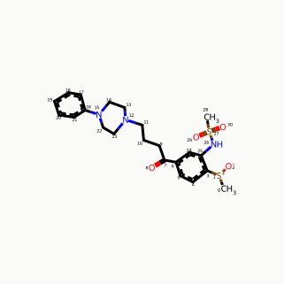 C[S+]([O-])c1ccc(C(=O)CCCN2CCN(c3ccccc3)CC2)cc1NS(C)(=O)=O